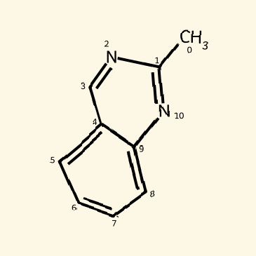 Cc1ncc2cc[c]cc2n1